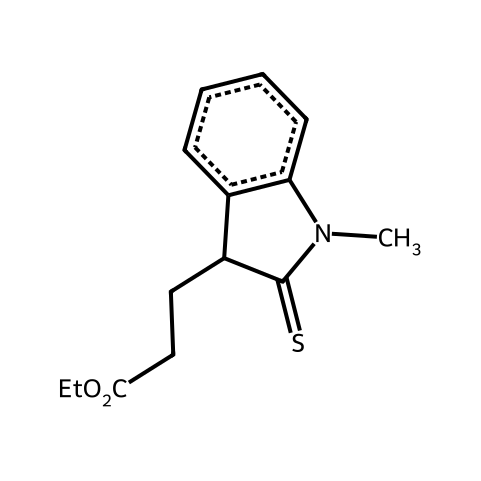 CCOC(=O)CCC1C(=S)N(C)c2ccccc21